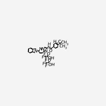 CC(C)(C)c1ccc(C(=O)Nc2cn3nc(N4Cc5ccccc5C4)ccc3n2)cc1.O=C(O)C(F)(F)F.O=C(O)C(F)(F)F